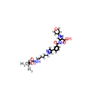 CC(C)(C)OC(=O)NCCCCCCn1cc(-c2cccc(C(=O)Nc3cn(C4CCOCC4)nc3C(=O)O)c2)cn1